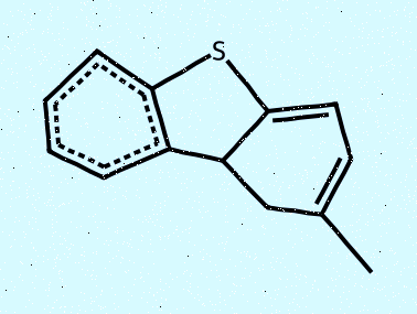 CC1=CC=C2Sc3ccccc3C2C1